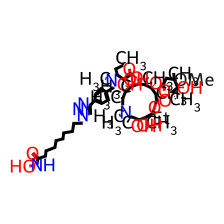 CC[C@H]1OC(=O)[C@H](C)[C@@H](O[C@H]2C[C@@](C)(OC)[C@@H](O)[C@H](C)O2)[C@H](C)[C@@H](O[C@@H]2O[C@H](C)C[C@H](N(C)Cc3ccc(-c4cn(CCCCCCCCCC(=O)NO)nn4)cc3)[C@H]2O)[C@](C)(O)C[C@@H](C)CN(C)[C@H](C)[C@@H](O)[C@]1(C)O